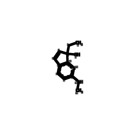 CCC1(O)C=Cc2ccc(NC)nc21